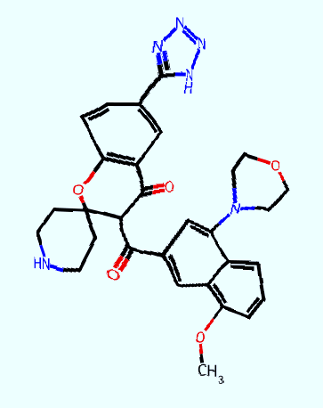 COc1cccc2c(N3CCOCC3)cc(C(=O)C3C(=O)c4cc(-c5nnn[nH]5)ccc4OC34CCNCC4)cc12